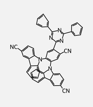 N#Cc1ccc2c(c1)c1ccccc1n2-c1cc(C#N)c(-c2nc(-c3ccccc3)nc(-c3ccccc3)n2)cc1-n1c2ccccc2c2cc(C#N)ccc21